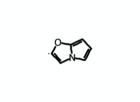 [c]1cn2cccc2o1